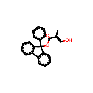 CC(=CO)C(=O)OC1(c2ccccc2)c2ccccc2-c2ccccc21